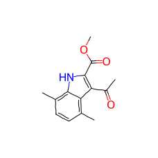 COC(=O)c1[nH]c2c(C)ccc(C)c2c1C(C)=O